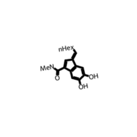 CCCCCC/C=C1\C=C(C(=O)NC)c2cc(O)c(O)cc21